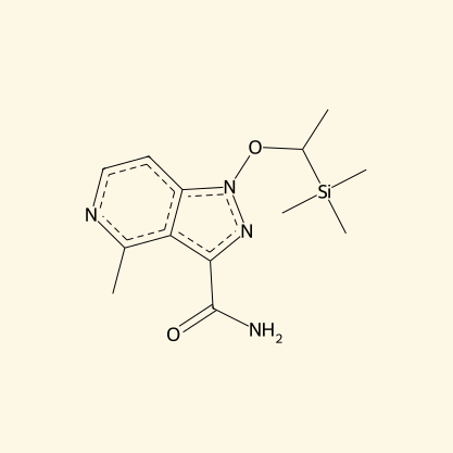 Cc1nccc2c1c(C(N)=O)nn2OC(C)[Si](C)(C)C